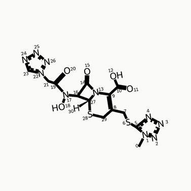 Cn1nnnc1SCC1=C(C(=O)O)N2C(=O)C(N(O)C(=O)Cn3cnnn3)[C@H]2SC1